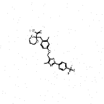 Cc1cc(OCc2sc(-c3ccc(C(F)(F)F)cc3)nc2C)ccc1CC1(C(=O)O)OCCCO1